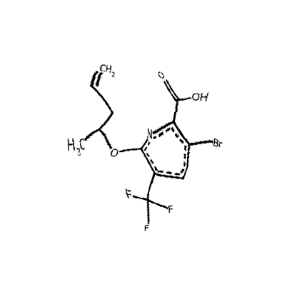 C=CCC(C)Oc1nc(C(=O)O)c(Br)cc1C(F)(F)F